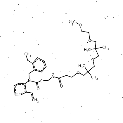 C=Cc1ccccc1N(Cc1ccccc1CC)C(=O)CCNC(=O)CCOCC(C)(C)COCC(C)(C)COCCOC